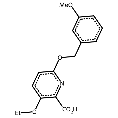 CCOc1ccc(OCc2cccc(OC)c2)nc1C(=O)O